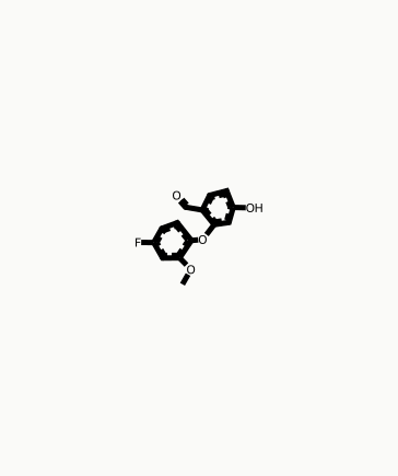 COc1cc(F)ccc1Oc1cc(O)ccc1C=O